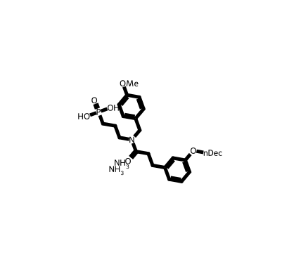 CCCCCCCCCCOc1cccc(CCC(=O)N(CCCP(=O)(O)O)Cc2ccc(OC)cc2)c1.N.N